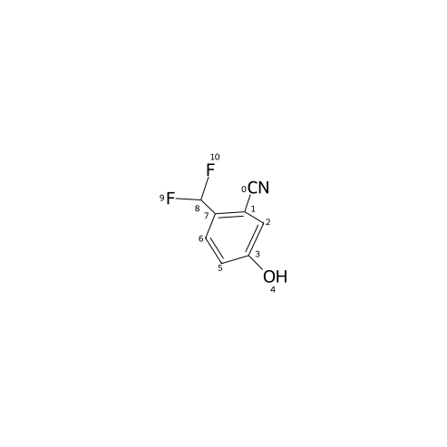 N#Cc1cc(O)ccc1C(F)F